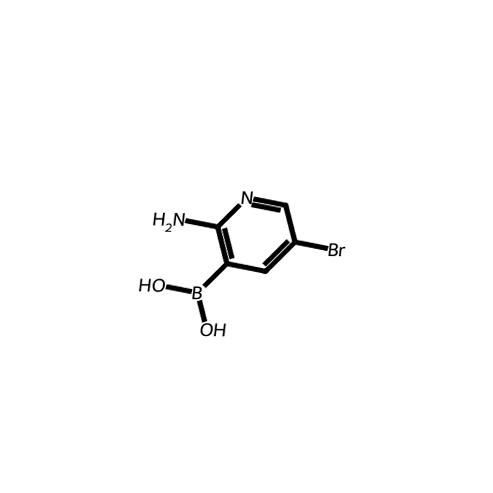 Nc1ncc(Br)cc1B(O)O